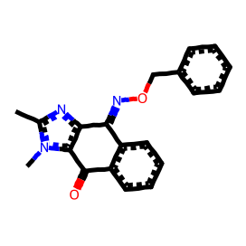 Cc1nc2c(n1C)C(=O)c1ccccc1/C2=N\OCc1ccccc1